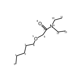 CCCCCOCC(=O)N(CC)CC